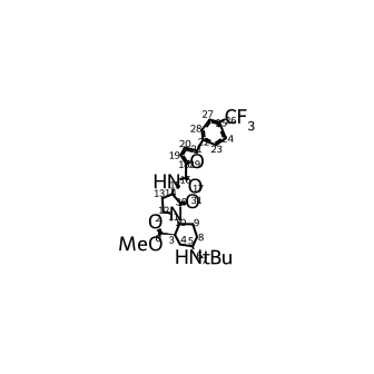 COC(=O)[C@@H]1C[C@H](NC(C)(C)C)CC[C@@H]1N1CCC(NC(=O)c2ccc(-c3ccc(C(F)(F)F)cc3)o2)C1=O